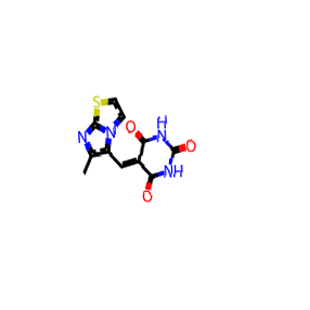 Cc1nc2sccn2c1C=C1C(=O)NC(=O)NC1=O